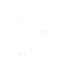 CCCC(C)(C)/C=C(\CC)c1ccco1